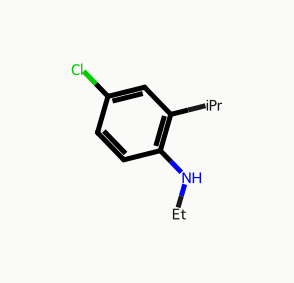 CCNc1ccc(Cl)cc1C(C)C